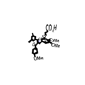 COc1ccc(C(=O)/C(Cc2cc(OC)c(OC)c(OCCCC(=O)O)c2)=C(/C(=O)O)c2cc(C)cc(C)c2)cc1